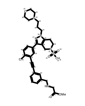 COC(=O)CNCc1cccc(C#Cc2cc(-c3nn(CCCN4CCOCC4)c4c3CN(S(C)(=O)=O)CC4)ccc2Cl)c1